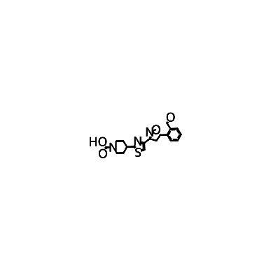 O=Cc1ccccc1C1CC(c2csc(C3CCN(C(=O)O)CC3)n2)=NO1